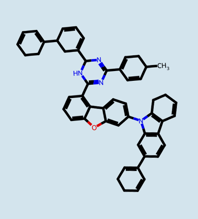 CC1C=CC(C2=NC(C3=CC=CC(C4=CC=CCC4)C3)NC(c3cccc4oc5cc(-n6c7c(c8ccc(C9=CCCC=C9)cc86)C=CCC7)ccc5c34)=N2)=CC1